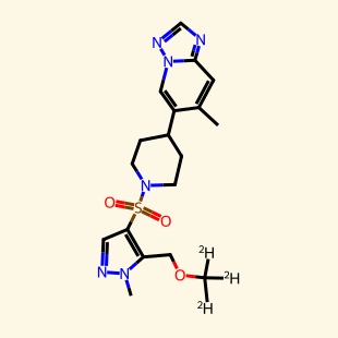 [2H]C([2H])([2H])OCc1c(S(=O)(=O)N2CCC(c3cn4ncnc4cc3C)CC2)cnn1C